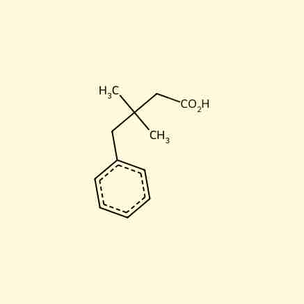 CC(C)(CC(=O)O)Cc1ccccc1